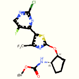 CC(C)(C)OC(=O)N[C@H]1CCC[C@@H]1Oc1nc(C(F)(F)F)c(-c2nc(Cl)ncc2F)s1